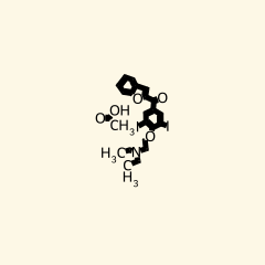 CC(=O)O.CCN(CC)CCOc1c(I)cc(C(=O)c2cc3ccccc3o2)cc1I